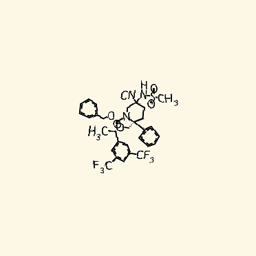 [C-]#[N+]C1(NS(C)(=O)=O)CC[C@@](CO[C@H](C)c2cc(C(F)(F)F)cc(C(F)(F)F)c2)(c2ccccc2)N(C(=O)OCc2ccccc2)C1